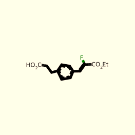 CCOC(=O)/C(F)=C/c1ccc(CCC(=O)O)cc1